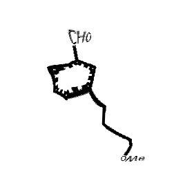 COCCCc1cccc(C=O)c1